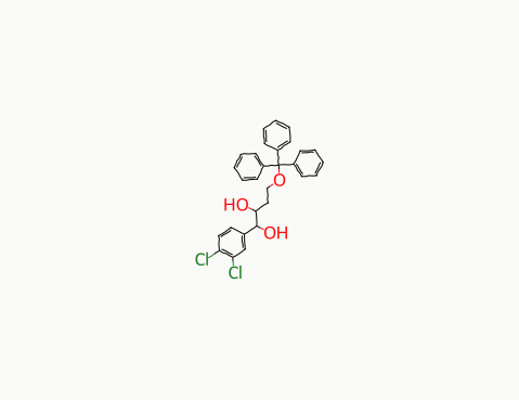 OC(CCOC(c1ccccc1)(c1ccccc1)c1ccccc1)C(O)c1ccc(Cl)c(Cl)c1